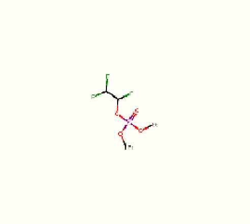 CCCOP(=O)(OCC)OC(F)C(F)F